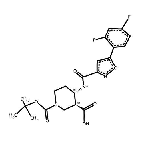 CC(C)(C)OC(=O)N1CC[C@H](NC(=O)c2cc(-c3ccc(F)cc3F)on2)[C@@H](C(=O)O)C1